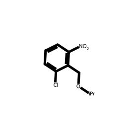 CC(C)OCc1c(Cl)cccc1[N+](=O)[O-]